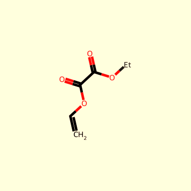 C=COC(=O)C(=O)OCC